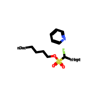 CCCCCCCCCCCCCCOS(=O)(=O)C(F)CCCCCCC.c1ccncc1